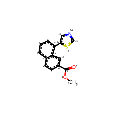 COC(=O)c1ccc2cccc(-c3cncs3)c2c1